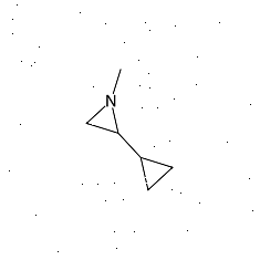 CN1CC1C1CC1